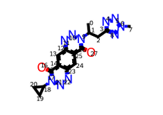 CC(Cc1nnn(C)n1)n1nnc2cc3c(=O)n(C4CC4)nnc3cc2c1=O